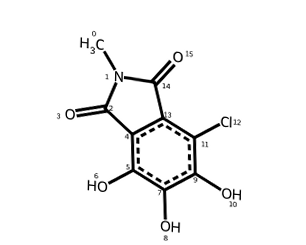 CN1C(=O)c2c(O)c(O)c(O)c(Cl)c2C1=O